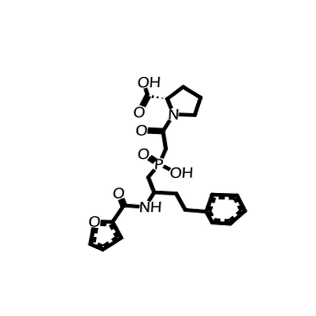 O=C(NC(CCc1ccccc1)CP(=O)(O)CC(=O)N1CCC[C@H]1C(=O)O)c1ccco1